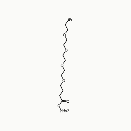 CCCCCCOC(=O)CCCOCCOCCOCCOCCC(C)C